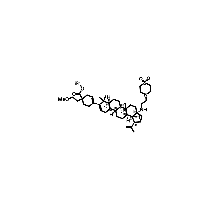 C=C(C)[C@@H]1CC[C@]2(NCCN3CCS(=O)(=O)CC3)CC[C@]3(C)[C@H](CC[C@@H]4[C@@]5(C)CC=C(C6=CCC(CCOC)(C(=O)OC(C)C)CC6)C(C)(C)[C@@H]5CC[C@]43C)[C@@H]12